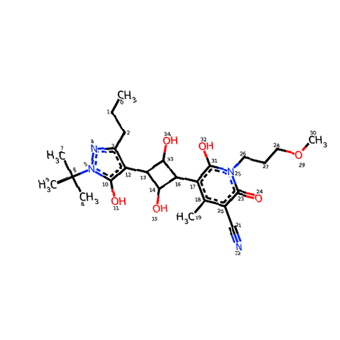 CCCc1nn(C(C)(C)C)c(O)c1C1C(O)C(c2c(C)c(C#N)c(=O)n(CCCOC)c2O)C1O